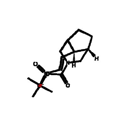 CC(C)(C)OC(=O)N1CC2CC[C@H](C1)[C@H]2/C=C/[N+](=O)[O-]